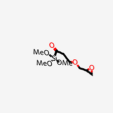 CO[Si](OC)(OC)C(=O)CCOCC1CO1